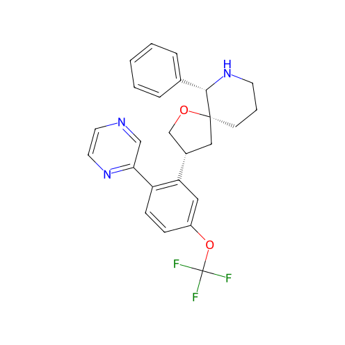 FC(F)(F)Oc1ccc(-c2cnccn2)c([C@@H]2CO[C@]3(CCCN[C@H]3c3ccccc3)C2)c1